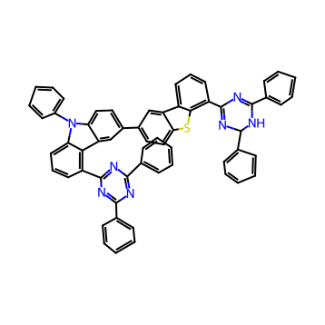 c1ccc(C2=NC(c3cccc4c3sc3ccc(-c5ccc6c(c5)c5c(-c7nc(-c8ccccc8)nc(-c8ccccc8)n7)cccc5n6-c5ccccc5)cc34)=NC(c3ccccc3)N2)cc1